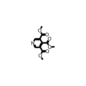 COC(=O)c1cncc(C(=O)OC)c1C(=O)OC